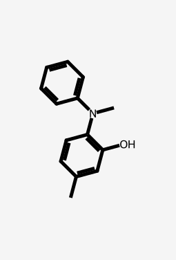 Cc1ccc(N(C)c2ccccc2)c(O)c1